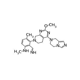 CNc1ccc(C)c(N2CCc3c(nc(OC)nc3N3CCn4cncc4C3)C2)c1C=N